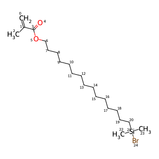 C=C(C)C(=O)OCCCCCCCCCCCCCCC[Si](C)(C)Br